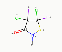 CN1SC(Cl)(I)C(Cl)(I)C1=O